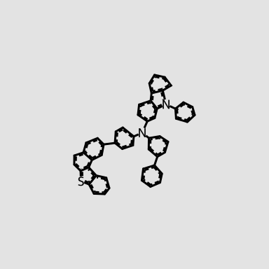 c1ccc(-c2cccc(N(c3ccc(-c4ccc5ccc6sc7ccccc7c6c5c4)cc3)c3ccc4c5ccccc5n(-c5ccccc5)c4c3)c2)cc1